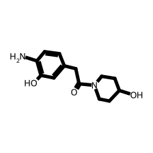 Nc1ccc(CC(=O)N2CCC(O)CC2)cc1O